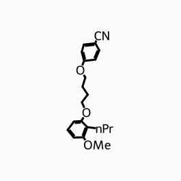 CCCc1c(OC)cccc1OCCCCOc1ccc(C#N)cc1